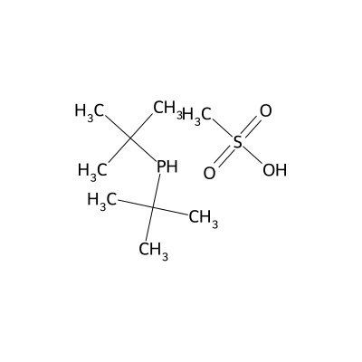 CC(C)(C)PC(C)(C)C.CS(=O)(=O)O